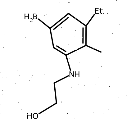 Bc1cc(CC)c(C)c(NCCO)c1